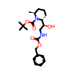 C[C@H]1CCC[C@H]([C@@H](O)CNC(=O)OCc2ccccc2)N1C(=O)OC(C)(C)C